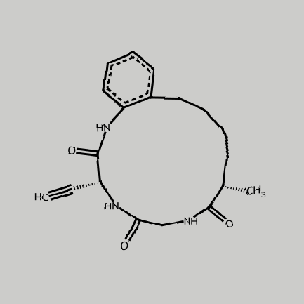 C#C[C@H]1NC(=O)CNC(=O)[C@@H](C)CCCCc2ccccc2NC1=O